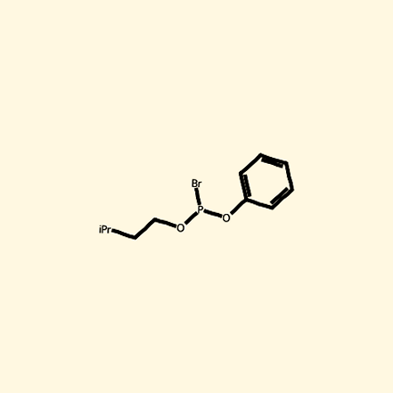 CC(C)CCOP(Br)Oc1ccccc1